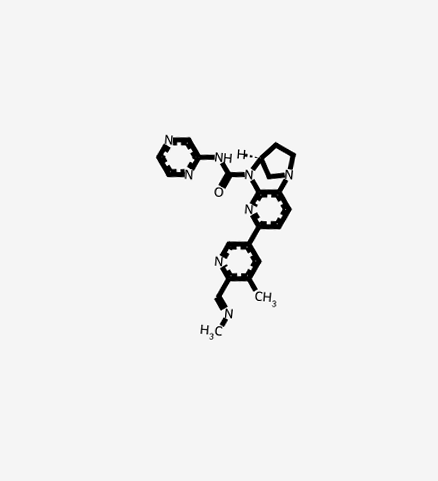 C/N=C/c1ncc(-c2ccc3c(n2)N(C(=O)Nc2cnccn2)[C@H]2CCN3C2)cc1C